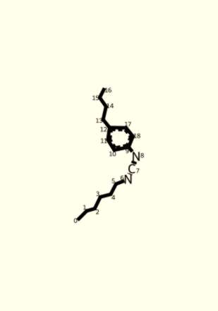 CCCCCCN=C=Nc1ccc(CCCC)cc1